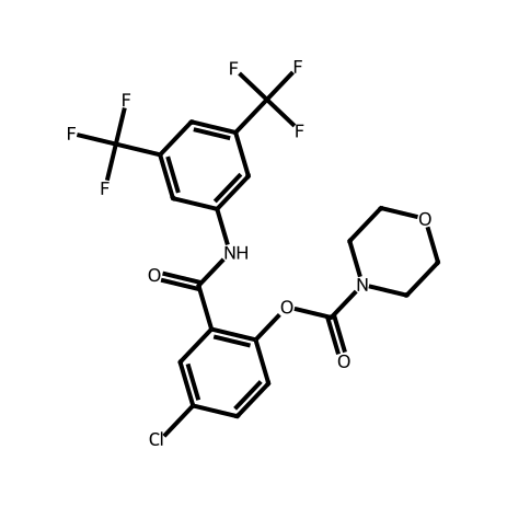 O=C(Nc1cc(C(F)(F)F)cc(C(F)(F)F)c1)c1cc(Cl)ccc1OC(=O)N1CCOCC1